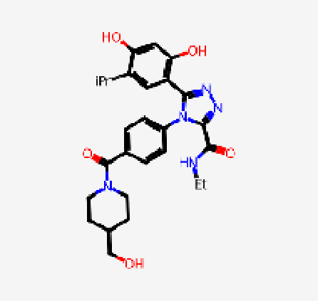 CCNC(=O)c1nnc(-c2cc(C(C)C)c(O)cc2O)n1-c1ccc(C(=O)N2CCC(CO)CC2)cc1